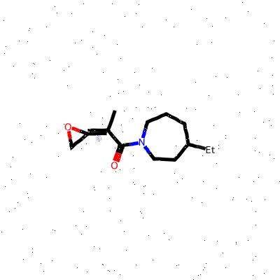 CCC1CCCN(C(=O)/C(C)=C2\CO2)CC1